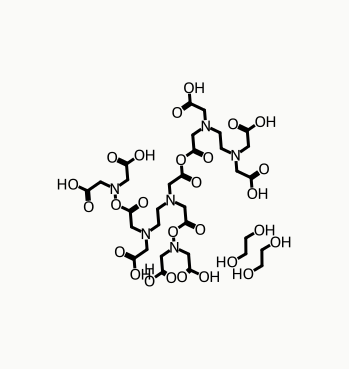 O=C(O)CN(CCN(CC(=O)O)CC(=O)OC(=O)CN(CCN(CC(=O)O)CC(=O)ON(CC(=O)O)CC(=O)O)CC(=O)ON(CC(=O)O)CC(=O)O)CC(=O)O.OCCO.OCCO